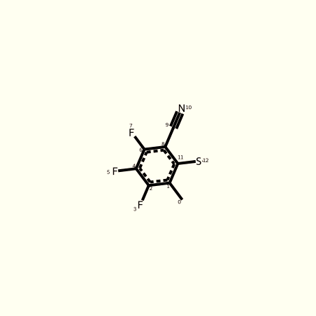 Cc1c(F)c(F)c(F)c(C#N)c1[S]